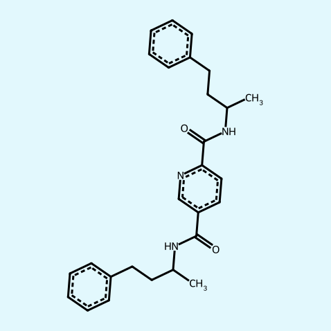 CC(CCc1ccccc1)NC(=O)c1ccc(C(=O)NC(C)CCc2ccccc2)nc1